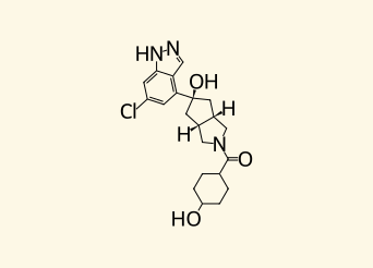 O=C(C1CCC(O)CC1)N1C[C@@H]2C[C@](O)(c3cc(Cl)cc4[nH]ncc34)C[C@@H]2C1